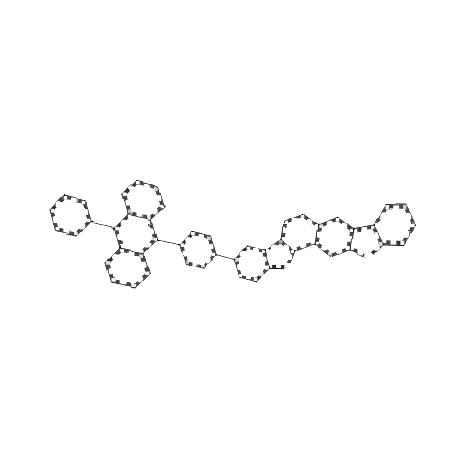 c1ccc(-c2c3ccccc3c(-c3ccc(-c4ccc5sc6c7cc8oc9ccccc9c8cc7ccc6c5c4)cc3)c3ccccc23)cc1